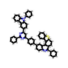 c1ccc(-c2nc(-c3ccc(-c4ccc5nc(-c6ccccc6)c6ccc7sc8ccccc8c7c6c5c4)cc3)cc(-c3ccc4c(c3)c3ccccc3n4-c3ccccc3)n2)cc1